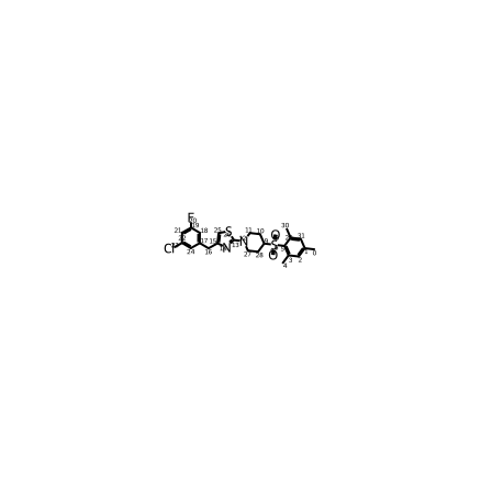 Cc1cc(C)c(S(=O)(=O)C2CCN(c3nc(Cc4cc(F)cc(Cl)c4)cs3)CC2)c(C)c1